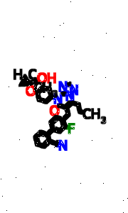 CCCc1c(Cc2ccc(-c3ccccc3C#N)cc2F)c(=O)n(C2CCC(OC3(C(C)(C)O)CC3)CC2)c2ncnn12